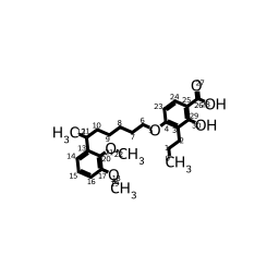 CCCc1c(OCCCCCC(C)c2cccc(OC)c2OC)ccc(C(=O)O)c1O